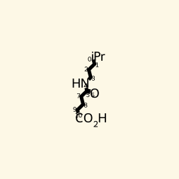 CC(C)CCCNC(=O)CCCC(=O)O